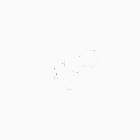 O=C(O)C1=NN2CCOC(c3ccccc3)C2N1